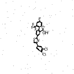 O=C(O)c1cc(-c2nc(-c3ccc(Cl)c(Cl)c3)cs2)ccc1-c1ccc(F)cc1C(F)(F)F